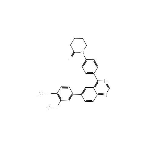 COc1ccc(-c2ccc3ncnc(-c4ccc(N5CCCCC5=O)cc4)c3c2)cc1OC